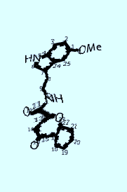 COc1ccc2[nH]cc(CCNC(=O)c3cc(=O)c4ccccc4o3)c2c1